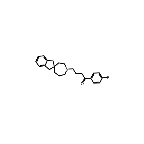 O=C(CCCN1CCCC2(CC1)Cc1ccccc1C2)c1ccc(F)cc1